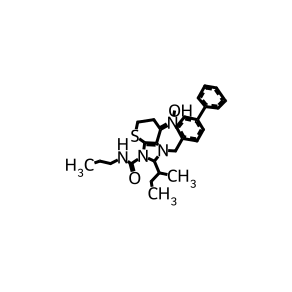 CCCNC(=O)N1C2=C(C(=NO)CCS2)N(Cc2ccc(-c3ccccc3)cc2)C1C(C)CC